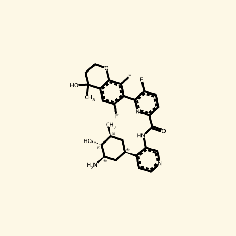 C[C@H]1C[C@@H](c2ccncc2NC(=O)c2ccc(F)c(-c3c(F)cc4c(c3F)OCCC4(C)O)n2)C[C@@H](N)[C@@H]1O